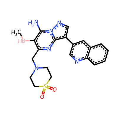 CBc1c(CN2CCS(=O)(=O)CC2)nc2c(-c3cnc4ccccc4c3)cnn2c1N